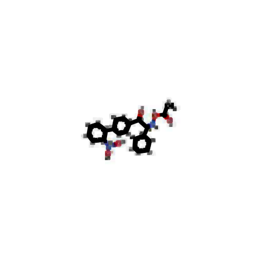 CC(=O)O/N=C(\C(=O)c1ccc(-c2ccccc2[N+](=O)[O-])cc1)c1ccccc1